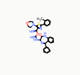 Cc1ccccc1-c1nc(C(=N)OC(=N)NC2N=C(c3ccccc3)c3ccccc3NC2=O)c(N2CCOCC2)s1